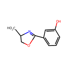 O=C(O)C1COC(c2cccc(O)c2)=N1